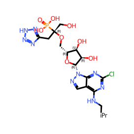 CC(C)CNc1nc(Cl)nc2c1cnn2[C@@H]1O[C@H](CO[C@](CO)(Cc2nn[nH]n2)P(=O)(O)O)[C@@H](O)[C@H]1O